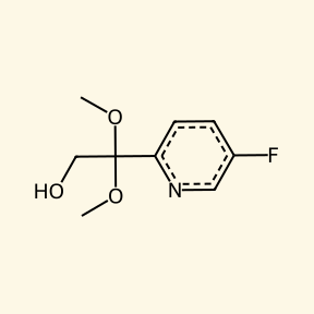 COC(CO)(OC)c1ccc(F)cn1